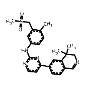 Cc1ccc(Nc2nccc(-c3ccc4c(c3)C(C)(C)CN=C4)n2)cc1CS(C)(=O)=O